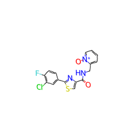 O=C(NCc1cccc[n+]1[O-])c1csc(-c2ccc(F)c(Cl)c2)n1